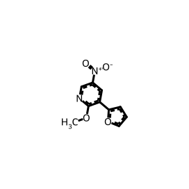 COc1ncc([N+](=O)[O-])cc1-c1ccco1